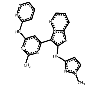 Cc1nc(Nc2cccnn2)cc(-c2c(Nc3ccn(C)n3)nc3cccnn23)n1